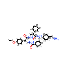 CCOc1ccc([C@@H](CNC(=O)c2ccccc2)C(=O)NC[C@H](C(=O)NCc2ccc(CN)cc2)c2ccccc2)cc1